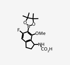 COc1c(B2OC(C)(C)C(C)(C)O2)c(F)cc2c1C(NC(=O)O)CC2